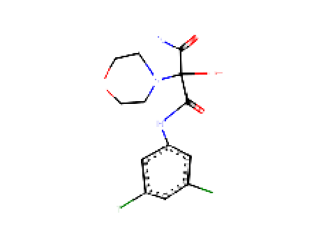 NC(=O)C(O)(C(=O)Nc1cc(Cl)cc(Cl)c1)N1CCOCC1